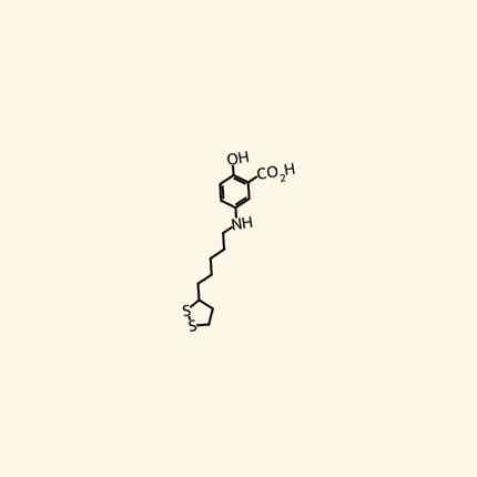 O=C(O)c1cc(NCCCCCC2CCSS2)ccc1O